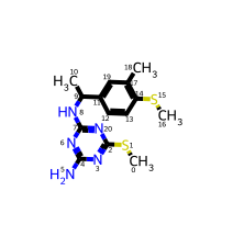 CSc1nc(N)nc(NC(C)c2ccc(SC)c(C)c2)n1